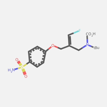 CC(C)(C)N(CC(=CF)COc1ccc(S(N)(=O)=O)cc1)C(=O)O